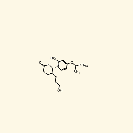 CCCCCCC(C)Oc1ccc([C@H]2CC(=O)CC[C@@H]2CCCO)c(O)c1